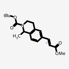 COC(=O)/C=C/c1ccc2c(c1)CCN(C(=O)OC(C)(C)C)C2C